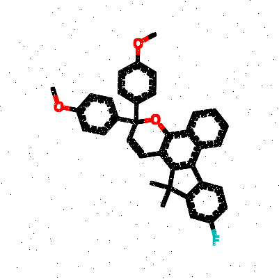 COc1ccc(C2(c3ccc(OC)cc3)C=Cc3c4c(c5ccccc5c3O2)-c2ccc(F)cc2C4(C)C)cc1